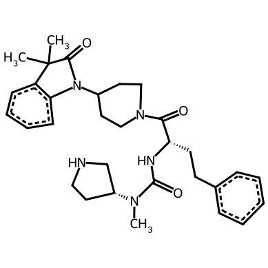 CN(C(=O)N[C@@H](CCc1ccccc1)C(=O)N1CCC(N2C(=O)C(C)(C)c3ccccc32)CC1)[C@@H]1CCNC1